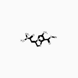 Cc1cn2c(c1C(=O)OC(C)C)SCC2=CC(=O)N(C)C